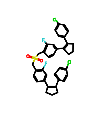 O=S(=O)(Cc1ccc(C2=C(c3ccc(Cl)cc3)CCC2)cc1F)Cc1ccc(C2=C(c3ccc(Cl)cc3)CCC2)cc1F